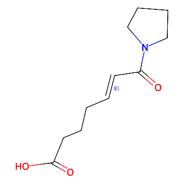 O=C(O)CCC/C=C/C(=O)N1CCCC1